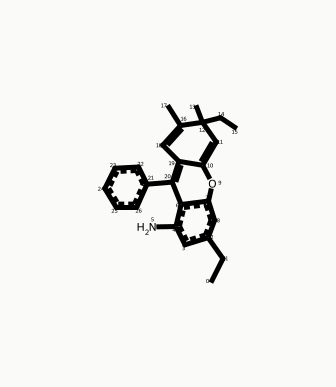 CCc1cc(N)c2c(c1)OC1=CC(C)(CC)C(C)=CC1=C2c1ccccc1